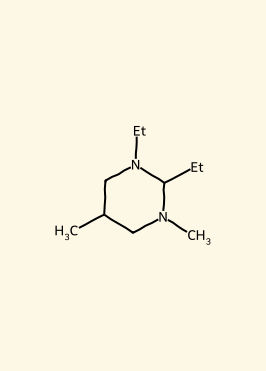 CCC1N(C)CC(C)CN1CC